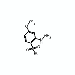 CCS(=O)(=O)c1ccc(OC(F)(F)F)cc1NN